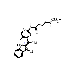 CCN1/C(=C(\C#N)c2nc(NC(=O)CCCNC(=O)O)ncc2C)Nc2ccccc21